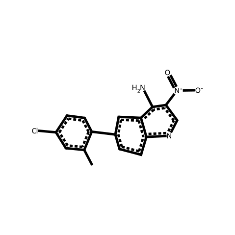 Cc1cc(Cl)ccc1-c1ccc2ncc([N+](=O)[O-])c(N)c2c1